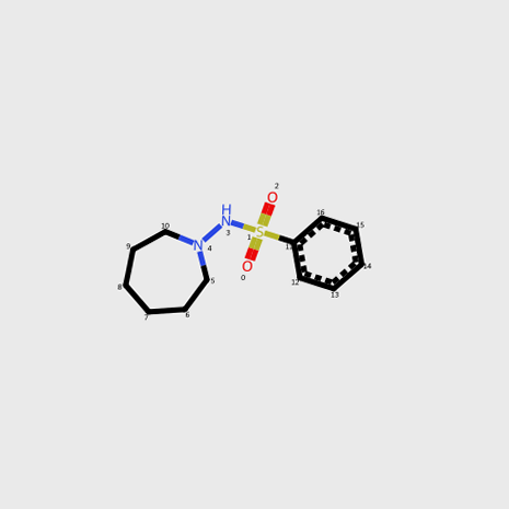 O=S(=O)(NN1CCCCCC1)c1ccccc1